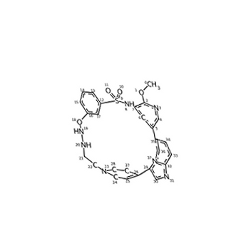 COc1ncc2cc1NS(=O)(=O)c1cccc(c1)ONNCCN1CC=C(CC1)c1cnc3ccc-2cn13